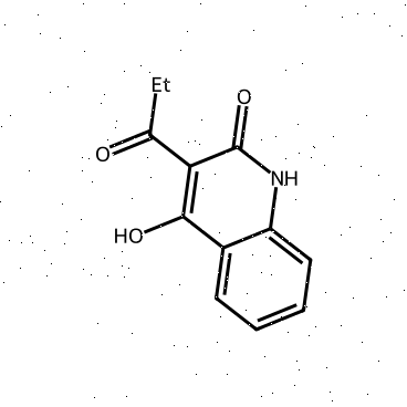 CCC(=O)c1c(O)c2ccccc2[nH]c1=O